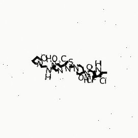 CO[C@H]1CN(c2nc(-c3cnc(NCCN4CCCC4=O)cn3)c(C(=O)O)s2)CC[C@H]1NC(=O)c1[nH]c(C)c(Cl)c1Cl